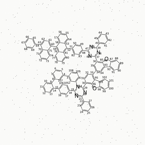 c1ccc(-c2cccc(-c3ccccc3-c3ccc(-c4nc(-c5ccccc5)nc(-c5ccc(-c6cc(-c7nc(-c8ccccc8)nc(-c8ccc(-c9c%10ccccc%10c(-c%10ccc(-c%11ccccc%11)c%11ccccc%10%11)c%10ccccc9%10)cc8)n7)c7oc8ccccc8c7c6)c6c5oc5ccccc56)n4)cc3)c2)cc1